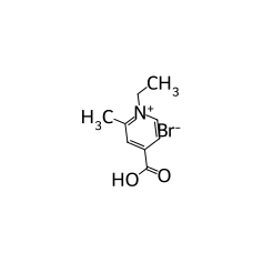 CC[n+]1ccc(C(=O)O)cc1C.[Br-]